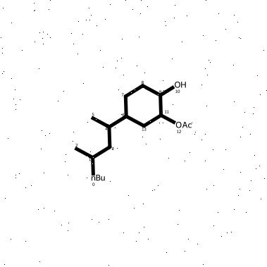 CCCCC(C)CC(C)C1CCC(O)C(OC(C)=O)C1